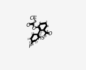 O=C(Oc1cccc(C(=O)S)c1-c1ccc(F)cc1)SCl